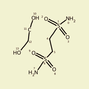 NS(=O)(=O)CCS(N)(=O)=O.OCCO